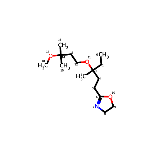 CCC(C)(CCC1=NCCO1)OCCC(C)(C)OC